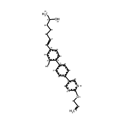 C=CCOc1ncc(-c2ccc(-c3ccc(/C=C/CCCC(C)O)cc3F)cc2)cn1